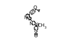 COC1(C2C=CC(c3cc4c(N5CCN(C(=O)C6CC6)CC5)ccnn4c3)=NC2)CCN(C2COC2)CC1